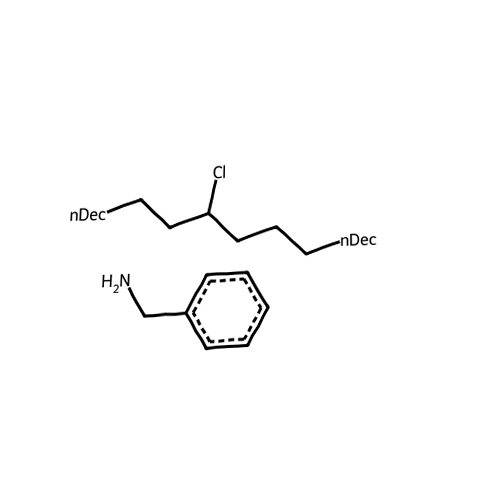 CCCCCCCCCCCCCC(Cl)CCCCCCCCCCCC.NCc1ccccc1